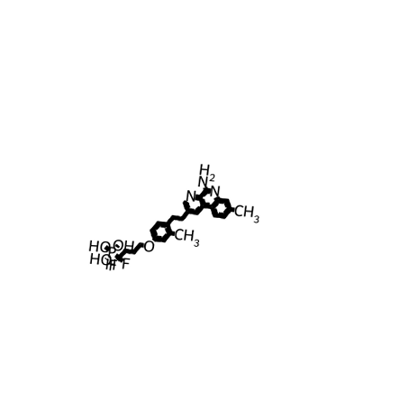 Cc1ccc2c(c1)nc(N)c1ncc(CCc3ccc(OCCCC(F)(F)[PH](O)(O)O)cc3C)cc12